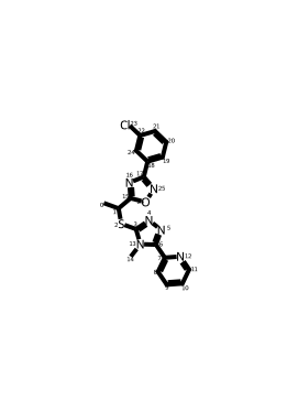 CC(Sc1nnc(-c2ccccn2)n1C)c1nc(-c2cccc(Cl)c2)no1